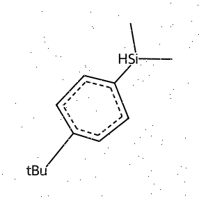 C[SiH](C)c1ccc(C(C)(C)C)cc1